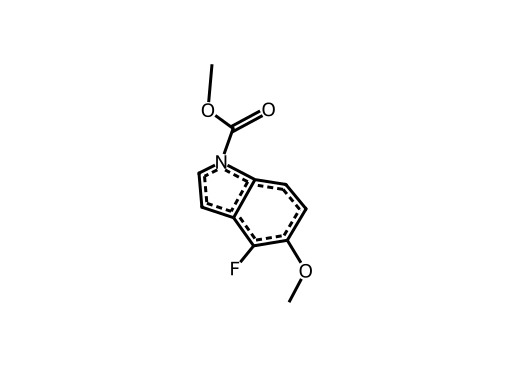 COC(=O)n1ccc2c(F)c(OC)ccc21